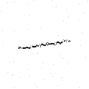 COCCOCCOCCOCCOCCCC(C)C